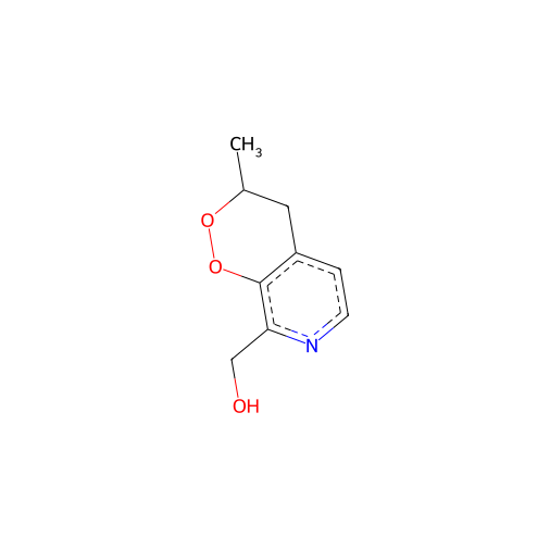 CC1Cc2ccnc(CO)c2OO1